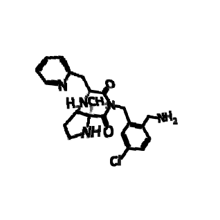 C[C@@]1(C(=O)N(Cc2cc(Cl)ccc2CN)C(=O)[C@H](N)Cc2ccccn2)CCCN1